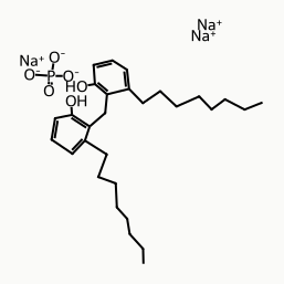 CCCCCCCCc1cccc(O)c1Cc1c(O)cccc1CCCCCCCC.O=P([O-])([O-])[O-].[Na+].[Na+].[Na+]